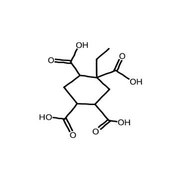 CCC1(C(=O)O)CC(C(=O)O)C(C(=O)O)CC1C(=O)O